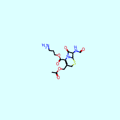 CC(=O)OCC1=C(C(=O)OCCCN)N2C(=O)C(NC=O)C2SC1